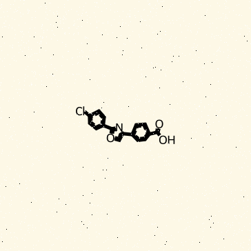 O=C(O)c1ccc(-c2coc(-c3ccc(Cl)cc3)n2)cc1